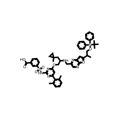 Cc1cccc(C)c1-c1cc(OCC(CC2(C)CC2)NCc2cnc3oc(C(C)CO[Si](c4ccccc4)(c4ccccc4)C(C)(C)C)cc3n2)nc(NS(=O)(=O)c2cccc(C(=O)O)c2)n1